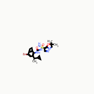 C[C@@H](c1cc(Br)c2c(c1NC(=O)N=[S@@](N)(=O)c1cnn3c1OC(C)(C)C3)CC2)C1CC1